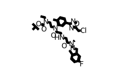 CCN(CCN(C(=O)CNCC(=O)N(C)N1Cc2ccc(F)cc2C1)c1cc(-c2noc(CCl)n2)ccc1C)C(=O)OC(C)(C)C